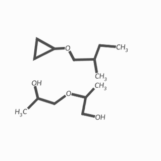 CC(O)COC(C)CO.CCC(C)COC1CC1